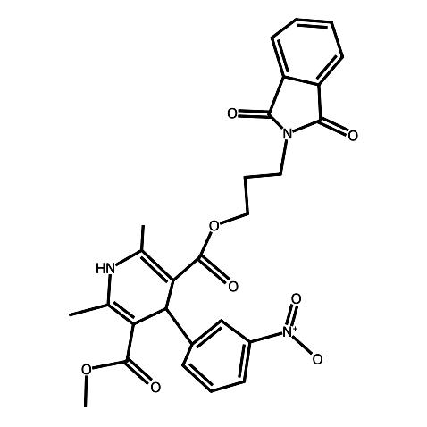 COC(=O)C1=C(C)NC(C)=C(C(=O)OCCCN2C(=O)c3ccccc3C2=O)C1c1cccc([N+](=O)[O-])c1